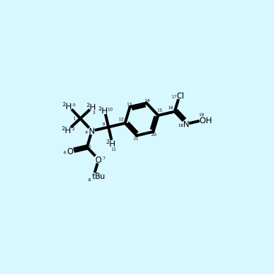 [2H]C([2H])([2H])N(C(=O)OC(C)(C)C)C([2H])([2H])c1ccc(C(Cl)=NO)cc1